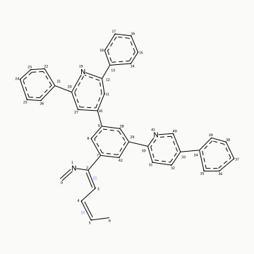 C=N/C(=C\C=C/C)c1cc(-c2cc(-c3ccccc3)nc(-c3ccccc3)c2)cc(-c2ccc(-c3ccccc3)cn2)c1